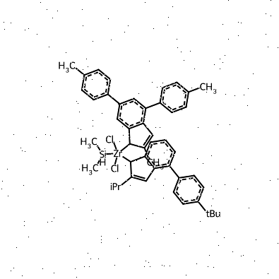 CC1=Cc2c(-c3ccc(C)cc3)cc(-c3ccc(C)cc3)cc2[CH]1[Zr]([Cl])([Cl])([CH]1C(C(C)C)=Cc2c(-c3ccc(C(C)(C)C)cc3)cccc21)[SiH](C)C